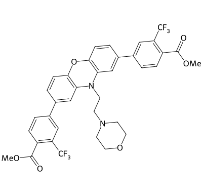 COC(=O)c1ccc(-c2ccc3c(c2)N(CCN2CCOCC2)c2cc(-c4ccc(C(=O)OC)c(C(F)(F)F)c4)ccc2O3)cc1C(F)(F)F